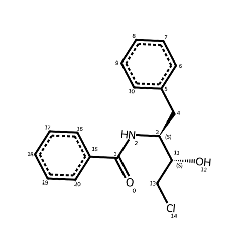 O=C(N[C@@H](Cc1ccccc1)[C@H](O)CCl)c1ccccc1